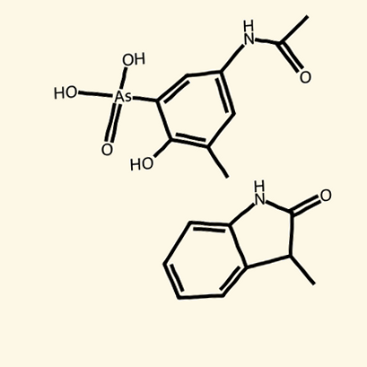 CC(=O)Nc1cc(C)c(O)c([As](=O)(O)O)c1.CC1C(=O)Nc2ccccc21